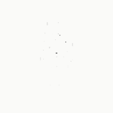 C[C@H](NP(=O)(OC[C@@]1(F)O[C@@](C#N)(c2cnc3c(N)ncnn23)[C@H](O)[C@@H]1O)Oc1cccc2ccccc12)C(=O)OCC(C)(C)C